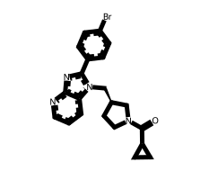 O=C(C1CC1)N1CC[C@@H](Cn2c(-c3ccc(Br)cc3)nc3ncccc32)C1